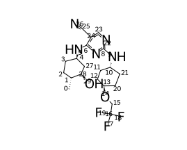 C[C@@H]1CC[C@@H](Nc2nc(N[C@H]3CC[C@H](OCC(F)(F)F)CC3)ncc2C#N)C[C@H]1O